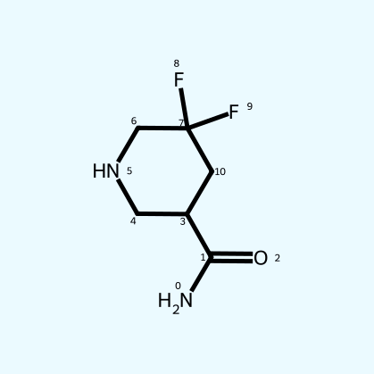 NC(=O)C1CNCC(F)(F)C1